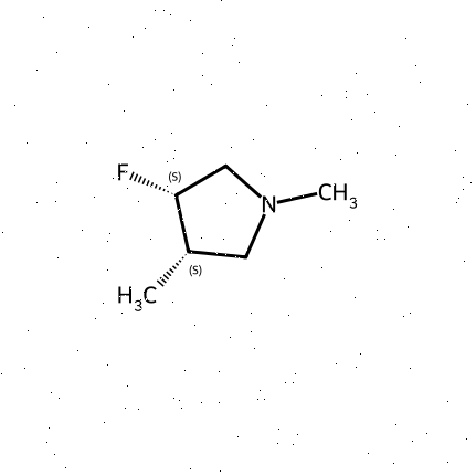 C[C@H]1CN(C)C[C@H]1F